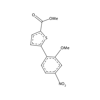 COC(=O)c1ccc(-c2ccc([N+](=O)[O-])cc2OC)s1